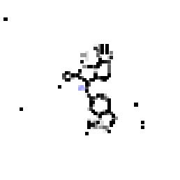 Nc1cccc2c1NC(=O)/C2=C/c1ccc2cn[nH]c2c1